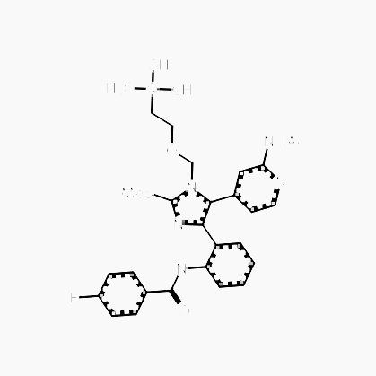 CSc1nc(-c2ccccc2NC(=O)c2ccc(F)cc2)c(-c2ccnc(NC(C)=O)c2)n1COCC[Si](C)(C)C